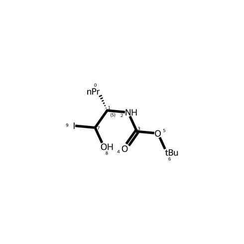 CCC[C@H](NC(=O)OC(C)(C)C)C(O)I